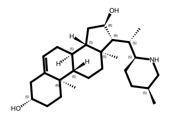 C[C@H]1CC[C@@H]([C@@H](C)[C@H]2[C@H](O)C[C@H]3[C@@H]4CC=C5C[C@@H](O)CC[C@]5(C)[C@H]4CC[C@]23C)NC1